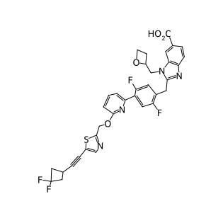 O=C(O)c1ccc2nc(Cc3cc(F)c(-c4cccc(OCc5ncc(C#CC6CC(F)(F)C6)s5)n4)cc3F)n(CC3CCO3)c2c1